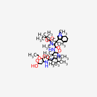 CCOC(=O)[C@H](CC(=O)O)NC(=O)/C(C)=C/[C@H](C(C)C)N(C)C(=O)[C@@H](NC(=O)[C@@H](N(C)C(=O)OC(C)(C)C)C(C)(C)c1cn(C)c2c1C=CCC2)C(C)(C)C